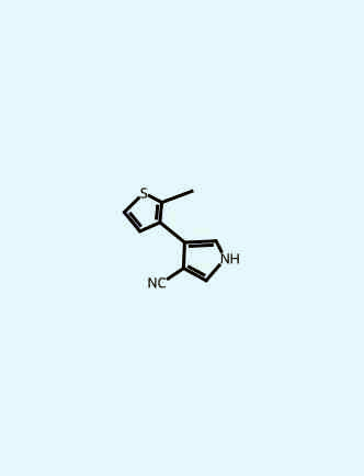 Cc1sccc1-c1c[nH]cc1C#N